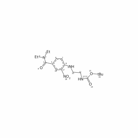 CCN(CC)C(=O)c1ccc(NCCNC(=O)OC(C)(C)C)c([N+](=O)[O-])c1